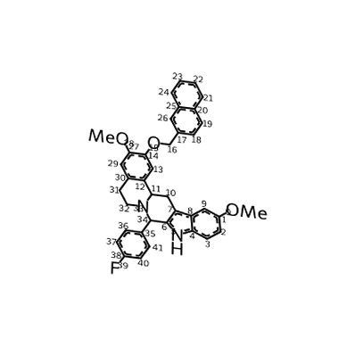 COc1ccc2[nH]c3c(c2c1)CC1c2cc(OCc4ccc5ccccc5c4)c(OC)cc2CCN1C3c1ccc(F)cc1